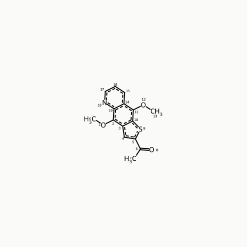 COc1c2cc(C(C)=O)sc2c(OC)c2cccnc12